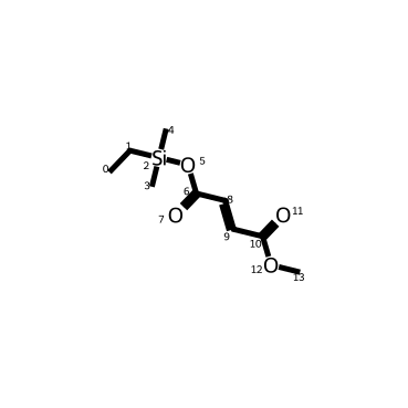 CC[Si](C)(C)OC(=O)C=CC(=O)OC